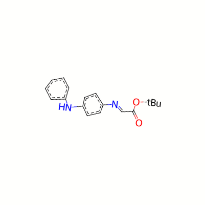 CC(C)(C)OC(=O)C=Nc1ccc(Nc2ccccc2)cc1